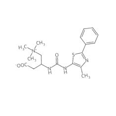 Cc1nc(-c2ccccc2)sc1NC(=O)NC(CC(=O)[O-])C[N+](C)(C)C